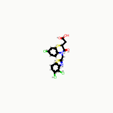 O=C(O)CC1Sc2cc(Cl)ccc2N(Cc2nc3c(Cl)c(Cl)ccc3s2)C1=O